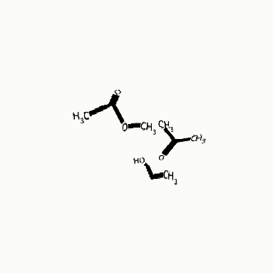 CC(C)=O.CCO.COC(C)=O